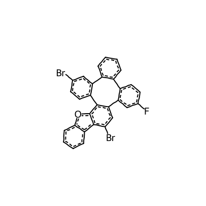 Fc1ccc2c(c1)-c1cc(Br)c3c(oc4ccccc43)c1-c1ccc(Br)cc1-c1ccccc1-2